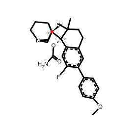 COc1ccc(-c2cc3c(cc2F)[C@@](OC(N)=O)([C@@H]2CN4CCC2CC4)C(C)(C)CC3)cc1